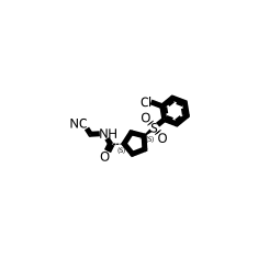 N#CCNC(=O)[C@H]1CC[C@H](S(=O)(=O)c2ccccc2Cl)C1